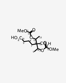 COC(=O)OC(C)C(CCCC(=O)O)(C(=O)O)C(C)OC(=O)OC